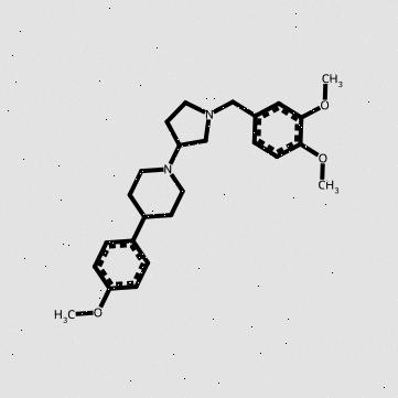 COc1ccc(C2CCN(C3CCN(Cc4ccc(OC)c(OC)c4)C3)CC2)cc1